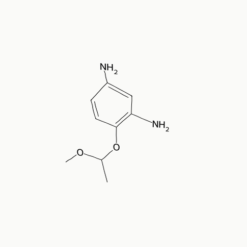 COC(C)Oc1ccc(N)cc1N